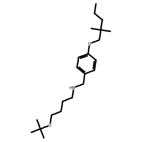 CCCC(C)(C)COc1ccc(CNCCCCOC(C)(C)C)cc1